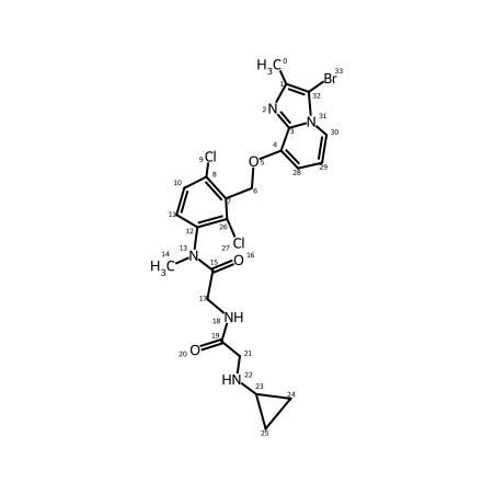 Cc1nc2c(OCc3c(Cl)ccc(N(C)C(=O)CNC(=O)CNC4CC4)c3Cl)cccn2c1Br